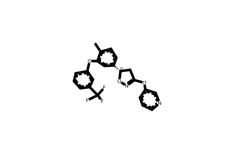 Cc1ccc([C@@H]2CC(Oc3cccnc3)=NO2)cc1Oc1cccc(C(F)(F)F)c1